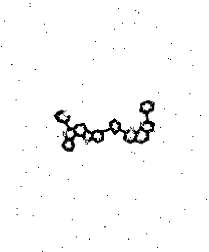 c1ccc(-c2ccc3ccc4ccc(-c5cccc(-c6ccc7sc8c(ccc9c(-c%10ccccc%10)nc%10ccccc%10c98)c7c6)c5)nc4c3n2)cc1